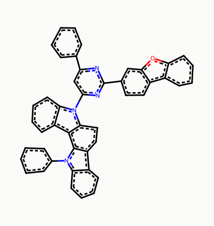 c1ccc(-c2cc(-n3c4ccccc4c4c3ccc3c5ccccc5n(-c5ccccc5)c34)nc(-c3ccc4c(c3)oc3ccccc34)n2)cc1